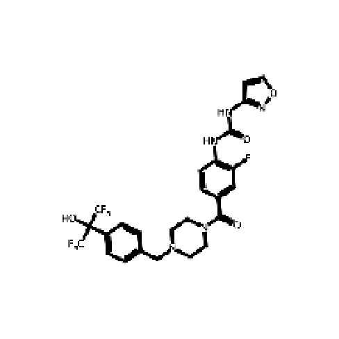 O=C(Nc1ccon1)Nc1ccc(C(=O)N2CCN(Cc3ccc(C(O)(C(F)(F)F)C(F)(F)F)cc3)CC2)cc1F